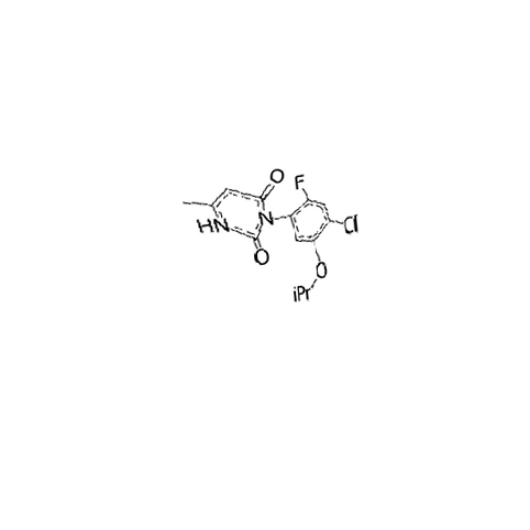 Cc1cc(=O)n(-c2cc(OC(C)C)c(Cl)cc2F)c(=O)[nH]1